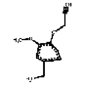 C#CCOc1ccc(CC)cc1OC